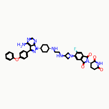 Nc1ncnc2c1c(-c1ccc(Oc3ccccc3)cc1)nn2[C@H]1CC[C@@H](NCCNC2CN(c3cc4c(cc3F)C(=O)N([C@H]3CCC(=O)NC3=O)C4=O)C2)CC1